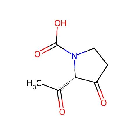 CC(=O)[C@H]1C(=O)CCN1C(=O)O